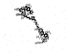 CCCCCCNC(=O)Nc1cc(-c2cc3cnc(NCCOCCOCc4cn(CCCCCC(=O)N[C@@H](C(=O)N5C[C@H](O)C[C@H]5C(=O)N[C@@H](C)c5ccc(-c6scnc6C)cc5)C(C)(C)C)nn4)nc3nc2C)c(C)cc1F